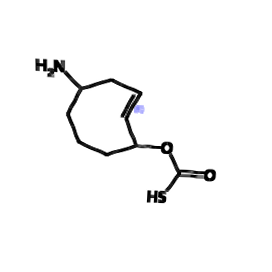 NC1C/C=C/C(OC(=O)S)CCC1